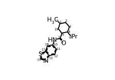 CC1CCC(C(C)C)C(C(=O)Nc2ccc3ncsc3c2)C1